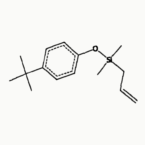 C=CC[Si](C)(C)Oc1ccc(C(C)(C)C)cc1